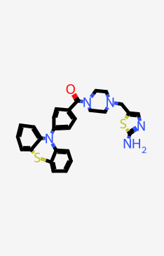 Nc1ncc(CN2CCN(C(=O)c3ccc(N4c5ccccc5Sc5ccccc54)cc3)CC2)s1